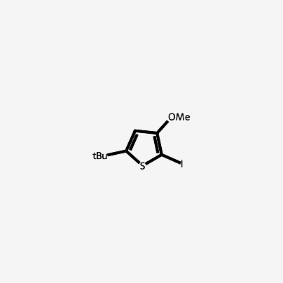 COc1cc(C(C)(C)C)sc1I